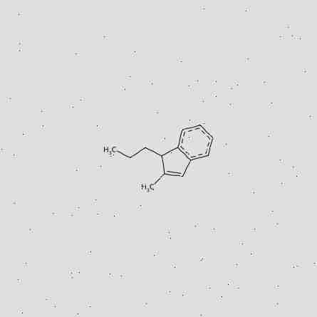 CCCC1C(C)=Cc2ccccc21